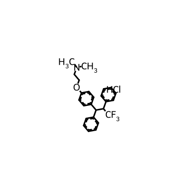 CN(C)CCOc1ccc(C(c2ccccc2)C(c2ccccc2)C(F)(F)F)cc1.Cl